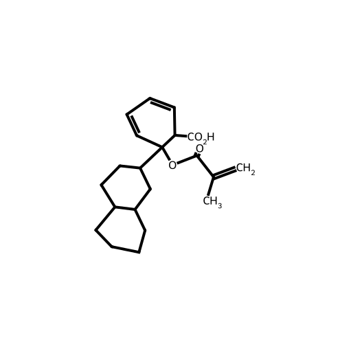 C=C(C)C(=O)OC1(C2CCC3CCCCC3C2)C=CC=CC1C(=O)O